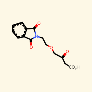 O=C(O)CC(=O)COCCN1C(=O)c2ccccc2C1=O